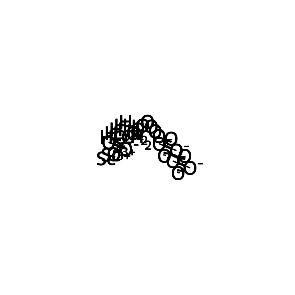 O.O.O.O.O.O.O.O.O=S(=O)([O-])[O-].O=S(=O)([O-])[O-].O=S(=O)([O-])[O-].[Sc+3].[Sc+3]